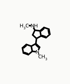 CNC1CC(C2=CN(C)C3C=CC=CC23)c2ccccc21